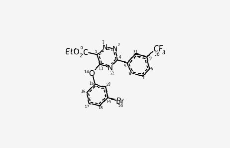 CCOC(=O)c1nnc(-c2cccc(C(F)(F)F)c2)nc1Oc1cccc(Br)c1